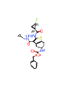 O=C(N[C@H]1CCc2sc(NC(=O)[C@H]3C[C@H]3F)c(C(=O)NCC3CC3)c2C1)OCc1ccccc1